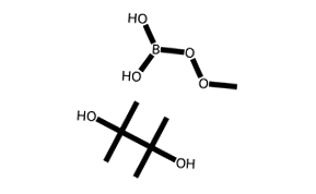 CC(C)(O)C(C)(C)O.COOB(O)O